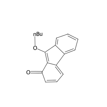 CCCCOC1=C2C(=O)C=CC=C2c2ccccc21